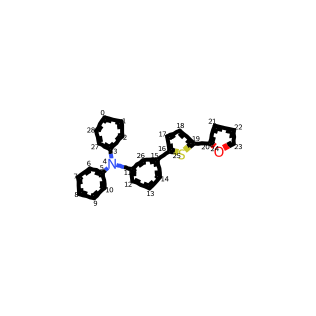 c1ccc(N(c2ccccc2)c2cccc(-c3ccc(-c4ccco4)s3)c2)cc1